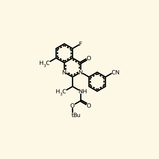 Cc1ccc(F)c2c(=O)n(-c3cccc(C#N)c3)c(C(C)NC(=O)OC(C)(C)C)nc12